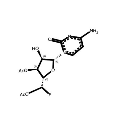 CC(=O)OC(F)[C@H]1O[C@@H](n2ccc(N)nc2=O)[C@H](O)[C@@H]1OC(C)=O